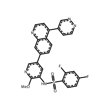 COc1ncc(-c2ccc3c(-c4ccnnc4)ccnc3c2)cc1NS(=O)(=O)c1ccc(F)cc1F